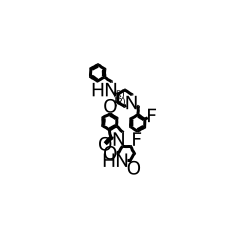 O=C1CCC(N2Cc3cc(O[C@@H]4CN(Cc5ccc(F)cc5F)CC[C@H]4NCc4ccccc4)ccc3C2=O)C(=O)N1